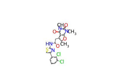 Cc1oc2c(c1CC(=O)Nc1nc(-c3cccc(Cl)c3Cl)cs1)c(=O)n(C)c(=O)n2C